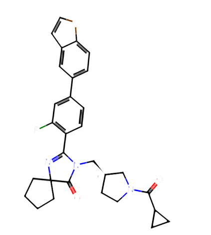 O=C(C1CC1)N1CC[C@@H](CN2C(=O)C3(CCCC3)N=C2c2ccc(-c3ccc4sccc4c3)cc2F)C1